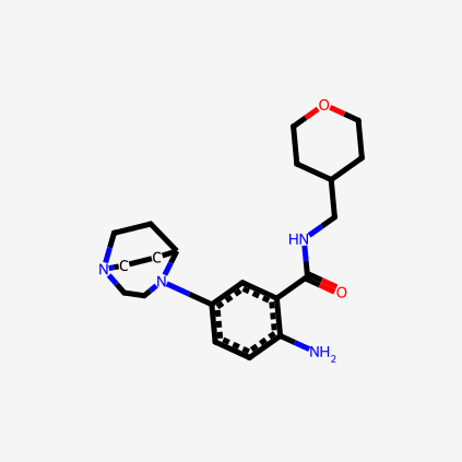 Nc1ccc(N2CCN3CCC2CC3)cc1C(=O)NCC1CCOCC1